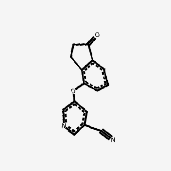 N#Cc1cncc(Oc2cc[c]c3c2CCC3=O)c1